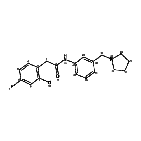 O=C(Cc1ccc(F)cc1Cl)Nc1cccc(CN2CCCC2)c1